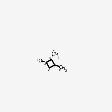 CC1C[C@@H]([O])[C@@H]1C